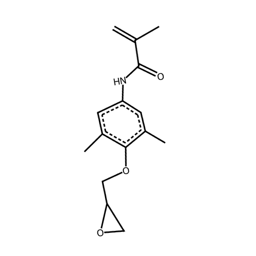 C=C(C)C(=O)Nc1cc(C)c(OCC2CO2)c(C)c1